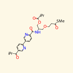 CSC(=O)CCOCC(COC(=O)C(C)C)NC(=O)c1ccc(-c2ccc(C(=O)C(C)C)cn2)cn1